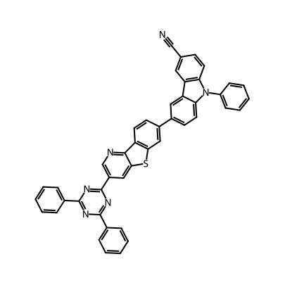 N#Cc1ccc2c(c1)c1cc(-c3ccc4c(c3)sc3cc(-c5nc(-c6ccccc6)nc(-c6ccccc6)n5)cnc34)ccc1n2-c1ccccc1